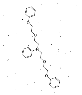 c1ccc(OCCOCCN(CCOCCOc2ccccc2)c2ccccc2)cc1